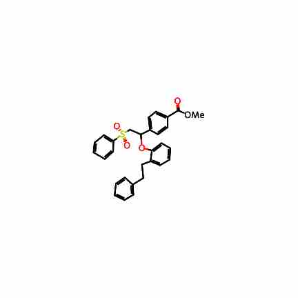 COC(=O)c1ccc(C(CS(=O)(=O)c2ccccc2)Oc2ccccc2CCc2ccccc2)cc1